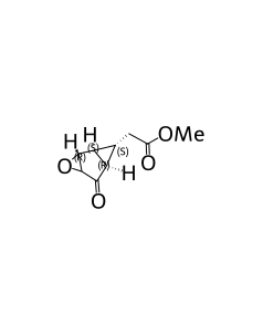 COC(=O)C[C@@H]1[C@H]2C(=O)C3O[C@@H]3[C@@H]12